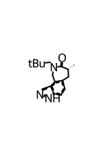 C[C@@H]1Cc2ccc3[nH]ncc3c2CN(CC(C)(C)C)C1=O